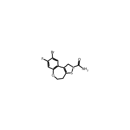 NC(=O)N1CC2=C(CCOc3cc(F)c(Br)cc32)S1